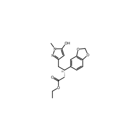 CCOC(=O)C[C@H](Cc1cc(O)n(C)n1)c1ccc2c(c1)OCO2